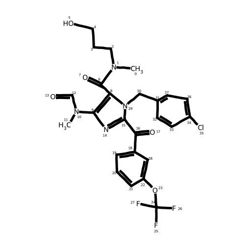 CN(CCCO)C(=O)c1c(N(C)C=O)nc(C(=O)c2cccc(OC(F)(F)F)c2)n1Cc1ccc(Cl)cc1